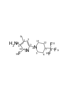 Cc1cc(N2CCC(C(F)(F)F)CC2)nc(F)c1N